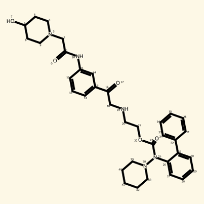 O=C(CN1CCC(O)CC1)Nc1cccc(C(=O)CNCCOC(=O)N(c2ccccc2-c2ccccc2)N2CC[CH]CC2)c1